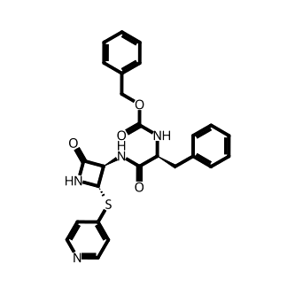 O=C(N[C@@H](Cc1ccccc1)C(=O)N[C@@H]1C(=O)N[C@H]1Sc1ccncc1)OCc1ccccc1